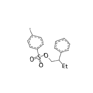 CCC(COS(=O)(=O)c1ccc(C)cc1)c1ccccc1